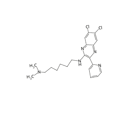 CN(C)CCCCCCNc1nc2cc(Cl)c(Cl)cc2nc1-c1ccccn1